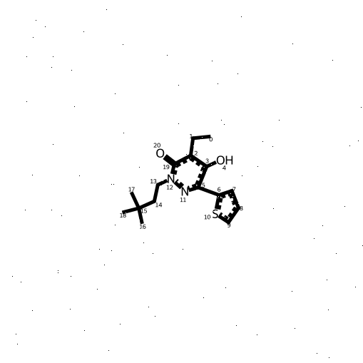 CCc1c(O)c(-c2cccs2)nn(CCC(C)(C)C)c1=O